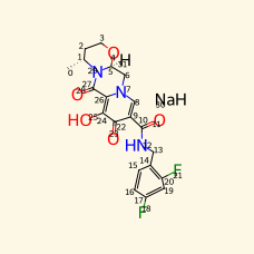 C[C@@H]1CCO[C@H]2Cn3cc(C(=O)NCc4ccc(F)cc4F)c(=O)c(O)c3C(=O)N12.[NaH]